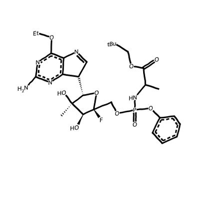 CCOc1nc(N)nc2c1N=CC2[C@@H]1O[C@](F)(COP(=O)(NC(C)C(=O)OCC(C)(C)C)Oc2ccccc2)[C@@H](O)[C@@]1(C)O